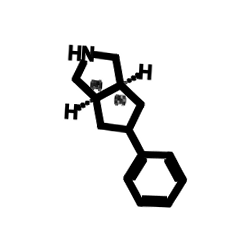 c1ccc(C2C[C@H]3CNC[C@H]3C2)cc1